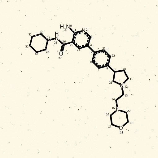 Nc1ncc(-c2ccc(C3CCN(CCN4CCOCC4)C3)cc2)cc1C(=O)NC1CCCCC1